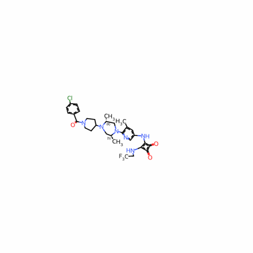 Cc1cc(Nc2c(NCC(F)(F)F)c(=O)c2=O)cnc1N1C[C@@H](C)N(C2CCN(C(=O)c3ccc(Cl)cc3)CC2)C[C@@H]1C